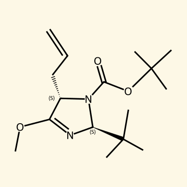 C=CC[C@H]1C(OC)=N[C@H](C(C)(C)C)N1C(=O)OC(C)(C)C